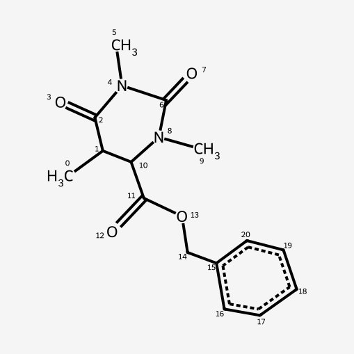 CC1C(=O)N(C)C(=O)N(C)C1C(=O)OCc1ccccc1